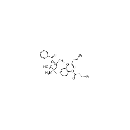 CC(C)CCC(=O)Oc1ccc(CC(N)(C[C@H](C)OC(=O)c2ccccc2)C(=O)O)cc1OC(=O)CCC(C)C